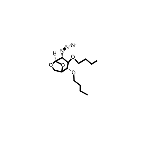 CCCCOC1[C@H](OCCCC)C2CO[C@H](O2)[C@H]1N=[N+]=[N-]